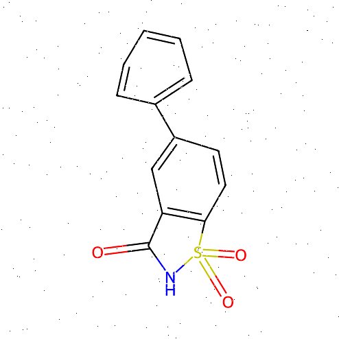 O=C1NS(=O)(=O)c2ccc(-c3ccccc3)cc21